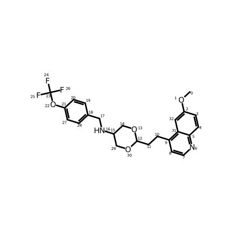 COc1ccc2nccc(CCC3OCC(NCc4ccc(OC(F)(F)F)cc4)CO3)c2c1